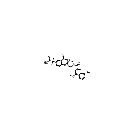 COc1cc(C(=O)N2CCC3(CC2)NC(=O)c2cc(C(C)(C)C(=O)O)ccc2O3)nc2c(OC)cccc12